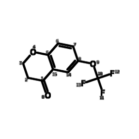 O=C1CCOc2ccc(OC(F)(F)F)cc21